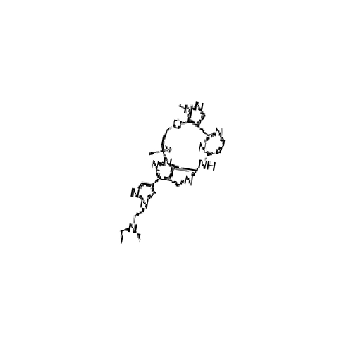 CCN(CC)CCn1cc(-c2nn3c4cc(ncc24)Nc2ccnc(n2)-c2cnn(C)c2OCC[C@@H]3C)cn1